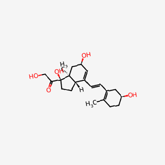 CC1=C(/C=C/C2=C[C@H](O)C[C@@]3(C)[C@H]2CC[C@]3(O)C(=O)CO)C[C@@H](O)CC1